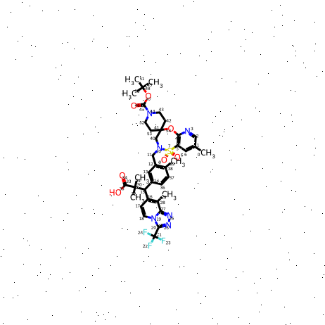 Cc1cnc2c(c1)S(=O)(=O)N(Cc1cc(C(c3ccn4c(C(F)(F)F)nnc4c3C)C(C)(C)C(=O)O)ccc1C)CC1(CCN(C(=O)OC(C)(C)C)CC1)O2